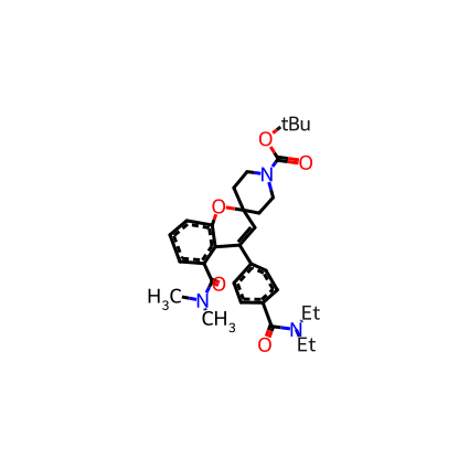 CCN(CC)C(=O)c1ccc(C2=CC3(CCN(C(=O)OC(C)(C)C)CC3)Oc3cccc(C(=O)N(C)C)c32)cc1